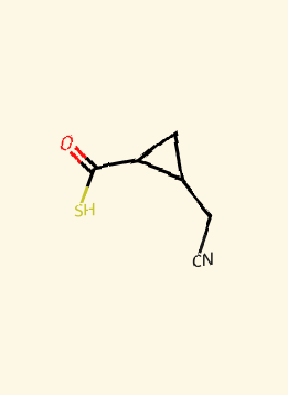 N#CCC1CC1C(=O)S